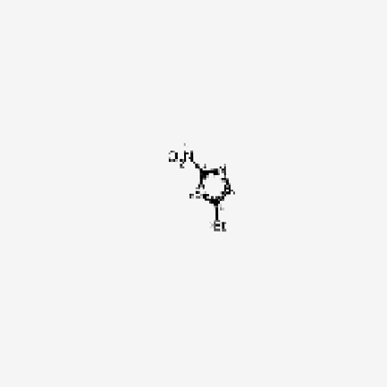 CCc1cnc([N+](=O)[O-])s1